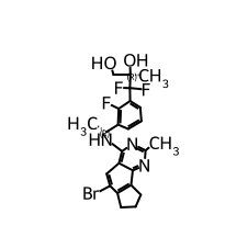 Cc1nc(N[C@H](C)c2cccc(C(F)(F)[C@](C)(O)CO)c2F)c2cc(Br)c3c(c2n1)CCC3